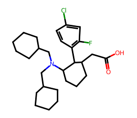 O=C(O)CC1CCCC(N(CC2CCCCC2)CC2CCCCC2)C1c1ccc(Cl)cc1F